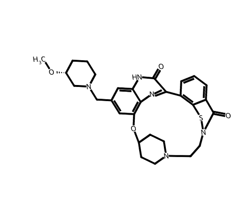 CO[C@@H]1CCCN(Cc2cc3c4nc(c(=O)[nH]c4c2)-c2cccc4c(=O)n(sc24)CCN2CCC(CC2)O3)C1